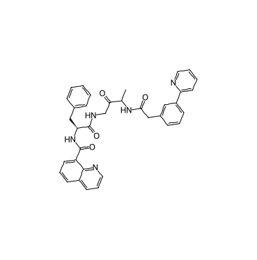 CC(NC(=O)Cc1cccc(-c2ccccn2)c1)C(=O)CNC(=O)[C@H](Cc1ccccc1)NC(=O)c1cccc2cccnc12